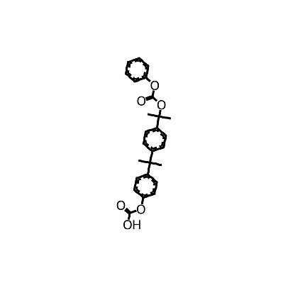 CC(C)(OC(=O)Oc1ccccc1)c1ccc(C(C)(C)c2ccc(OC(=O)O)cc2)cc1